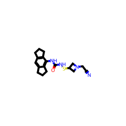 N#CCN1CC(SNC(=O)Nc2c3c(cc4c2CCC4)CCC3)C1